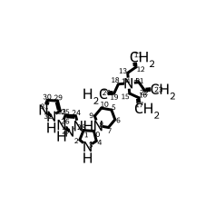 C1CCNC1.C1CCNCC1.C=CC[N+](CC=C)(CC=C)CC=C.c1c[nH]nn1.c1cn[nH]c1